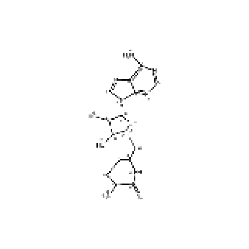 Nc1ncnc2c1ncn2[C@@H]1O[C@H](CC2CCC(N)C(=O)N2)C(O)C1O